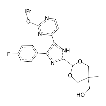 CC(C)Oc1nccc(-c2[nH]c(C3OCC(C)(CO)CO3)nc2-c2ccc(F)cc2)n1